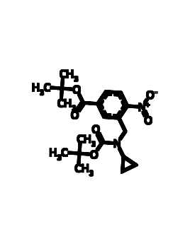 CC(C)(C)OC(=O)c1ccc([N+](=O)[O-])c(CN(C(=O)OC(C)(C)C)C2CC2)c1